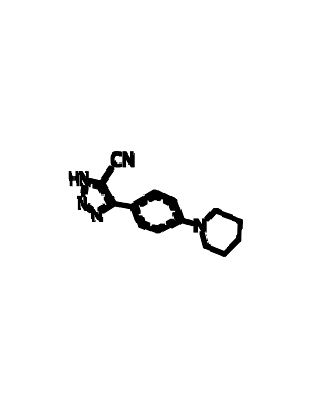 N#Cc1[nH]nnc1-c1ccc(N2CCCCC2)cc1